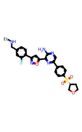 CCNCc1ccc(-c2cc(-c3nc(-c4ccc(S(=O)(=O)[C@@H]5CCOC5)cc4)cnc3N)on2)c(F)c1